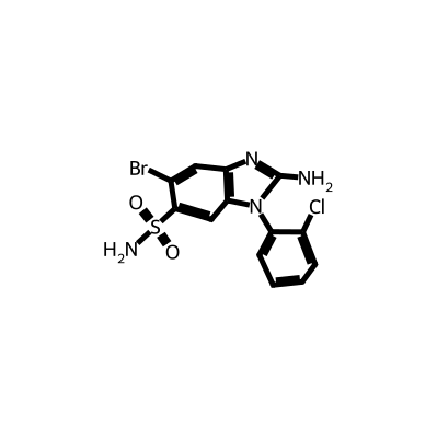 Nc1nc2cc(Br)c(S(N)(=O)=O)cc2n1-c1ccccc1Cl